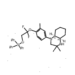 Cc1cc(N2CC(C)(C)N[C@@H]3CCCC[C@@H]32)ccc1OC(F)(F)CO[Si](C(C)C)(C(C)C)C(C)C